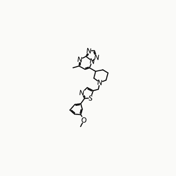 COc1cccc(-c2ncc(CN3CCCC(c4cc(C)nc5ncnn45)C3)s2)c1